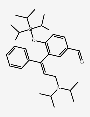 CC(C)N(C/C=C(/c1ccccc1)c1cc(C=O)ccc1O[Si](C(C)C)(C(C)C)C(C)C)C(C)C